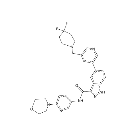 O=C(Nc1ccc(N2CCOCC2)nc1)c1n[nH]c2ccc(-c3cncc(CN4CCC(F)(F)CC4)c3)cc12